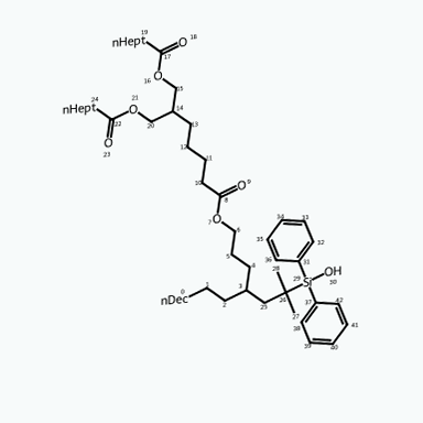 CCCCCCCCCCCCC(CCCOC(=O)CCCCC(COC(=O)CCCCCCC)COC(=O)CCCCCCC)CC(C)(C)[Si](O)(c1ccccc1)c1ccccc1